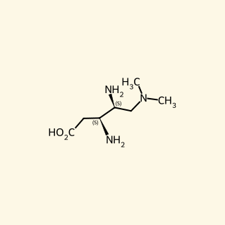 CN(C)C[C@H](N)[C@@H](N)CC(=O)O